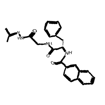 CC(C)=NNC(=O)CNC(=O)[C@H](Cc1ccccc1)NC(=O)c1ccc2ccccc2c1